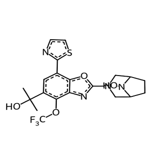 CC(C)(O)c1cc(-c2nccs2)c2oc(N3CC4CCC(C3)N4O)nc2c1OC(F)(F)F